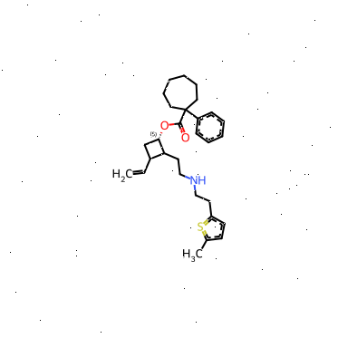 C=CC1C[C@H](OC(=O)C2(c3ccccc3)CCCCCC2)C1CCNCCc1ccc(C)s1